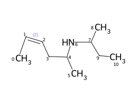 C/C=C\CC(C)NC(C)CC